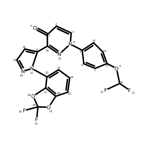 O=c1ccn(-c2ccc(OC(F)F)cc2)nc1-c1ccnn1-c1cccc2c1OC(F)(F)O2